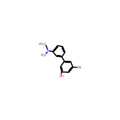 CN(C(=O)O)c1cccc(-c2cc(O)cc(C#N)c2)c1